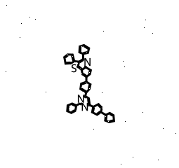 c1ccc(-c2ccc(-c3cc(-c4ccc(-c5ccc6nc(-c7ccccc7)c7c8ccccc8sc7c6c5)cc4)nc(-c4ccccc4)n3)cc2)cc1